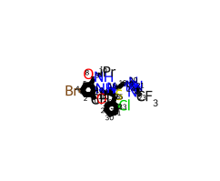 Cc1cc(Br)cc(C(=O)NC(C)C)c1NC(=O)c1nc(Cn2nnc(C(F)(F)F)n2)sc1-c1ccccc1Cl